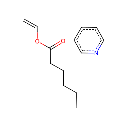 C=COC(=O)CCCCC.c1ccncc1